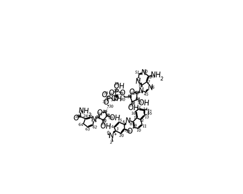 C[N+](C)=c1ccc2nc3c(ccc4ccccc43)oc-2c1.NC(=O)C1=CN([C@@H]2O[C@H](COP(=O)(O)OP(=O)(O)OC[C@H]3O[C@@H](n4cnc5c(N)ncnc54)[C@H](O)[C@@H]3O)[C@@H](O)[C@H]2O)C=CC1.[Cl-]